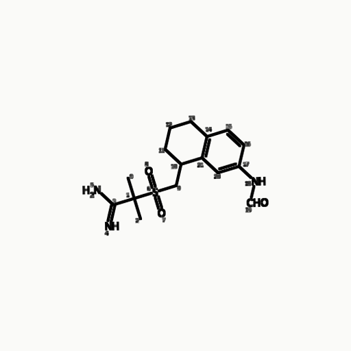 CC(C)(C(=N)N)S(=O)(=O)CC1CCCc2ccc(NC=O)cc21